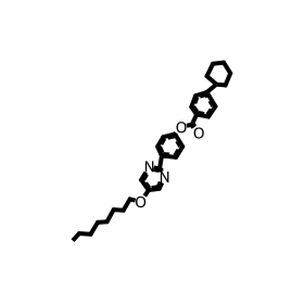 CCCCCCCCOc1cnc(-c2ccc(OC(=O)c3ccc(C4CCCCC4)cc3)cc2)nc1